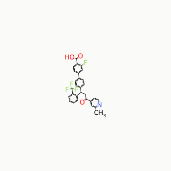 Cc1cc(C(=O)CC(c2ccc(-c3ccc(C(=O)O)c(F)c3)cc2)c2ccccc2C(F)(F)F)ccn1